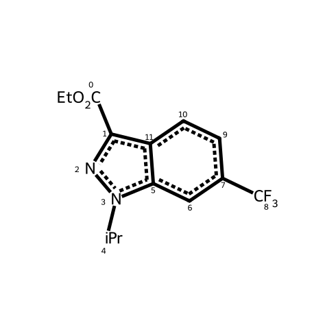 CCOC(=O)c1nn(C(C)C)c2cc(C(F)(F)F)ccc12